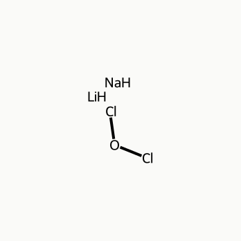 ClOCl.[LiH].[NaH]